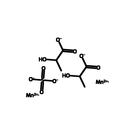 CC(O)C(=O)[O-].CC(O)C(=O)[O-].O=S(=O)([O-])[O-].[Mn+2].[Mn+2]